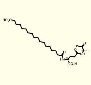 C[C@H](NC(=O)CC[C@H](NC(=O)CCCCCCCCCCCCCCCCC(=O)O)C(=O)O)C(=O)S